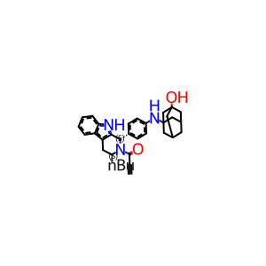 C#CC(=O)N1[C@@H](CCCC)Cc2c([nH]c3ccccc23)[C@@H]1c1ccc(NC23CC4CC(CC(O)(C4)C2)C3)cc1